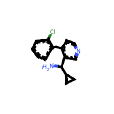 NC(c1cnccc1-c1ccccc1Cl)C1CC1